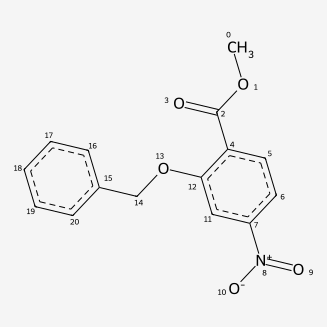 COC(=O)c1ccc([N+](=O)[O-])cc1OCc1ccccc1